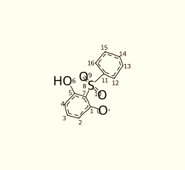 [O]c1cccc(O)c1S(=O)(=O)c1ccccc1